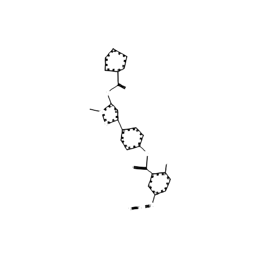 Cn1nc(-c2ccc(NC(=O)c3cc(N=[N+]=[N-])ccc3Cl)cc2)cc1NC(=O)c1ccccc1